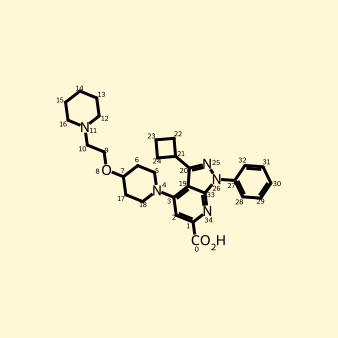 O=C(O)c1cc(N2CCC(OCCN3CCCCC3)CC2)c2c(C3CCC3)nn(-c3ccccc3)c2n1